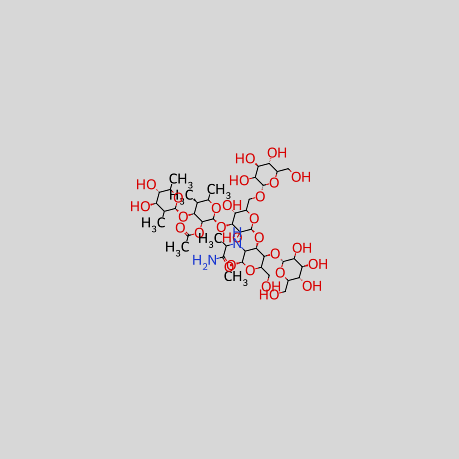 CO[C@@H]1OC(CO)[C@H](O[C@H]2OC(CO)[C@@H](O)[C@H](O)C2O)[C@H](O[C@@H]2OC(CO[C@H]3OC(CO)[C@@H](O)[C@H](O)C3O)[C@@H](O)[C@H](O[C@@H]3OC(C)[C@H](C)[C@H](O[C@@H]4OC(C)[C@@H](O)[C@H](O)C4C)C3OC(C)=O)C2O)C1NC(C)C(N)=O